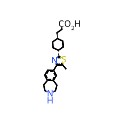 Cc1sc([C@H]2CC[C@H](CCC(=O)O)CC2)nc1-c1ccc2c(c1)CCNCC2